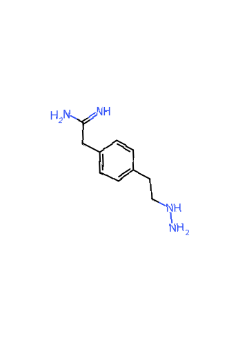 N=C(N)Cc1ccc(CCNN)cc1